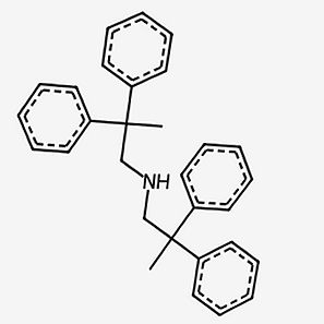 CC(CNCC(C)(c1ccccc1)c1ccccc1)(c1ccccc1)c1ccccc1